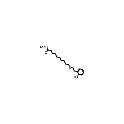 COC(=O)CCCCCCCCCSCCc1ccccc1O